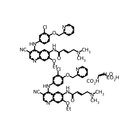 CCOc1cc2ncc(C#N)c(Nc3ccc(OCc4ccccn4)c(Cl)c3)c2cc1NC(=O)/C=C/CN(C)C.CCOc1cc2ncc(C#N)c(Nc3ccc(OCc4ccccn4)c(Cl)c3)c2cc1NC(=O)/C=C/CN(C)C.O.O=C(O)/C=C\C(=O)O